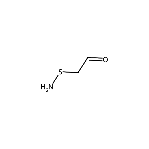 NSCC=O